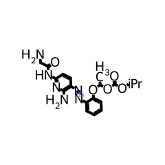 CC(C)OC(=O)OC(C)Oc1ccccc1/N=N/c1ccc(NC(=O)CN)nc1N